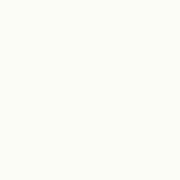 CC(C)(C)C(=O)OCCCCB(F)F